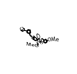 COCCN1C(=O)N(Cc2cccc(OC)c2)C(=O)C12CCN(Cc1cccc(C3C=COC3)c1)CC2